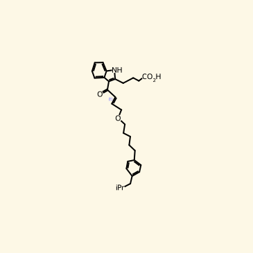 CC(C)Cc1ccc(CCCCCOC/C=C/C(=O)c2c(CCCC(=O)O)[nH]c3ccccc23)cc1